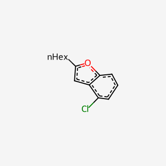 [CH2]CCCCCc1cc2c(Cl)cccc2o1